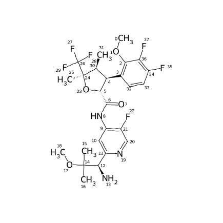 COc1c([C@H]2[C@H](C(=O)Nc3cc([C@@H](N)C(C)(C)OC)ncc3F)O[C@@](C)(C(F)(F)F)[C@H]2C)ccc(F)c1F